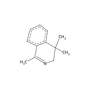 CC1=NCC(C)(C)c2ccccc21